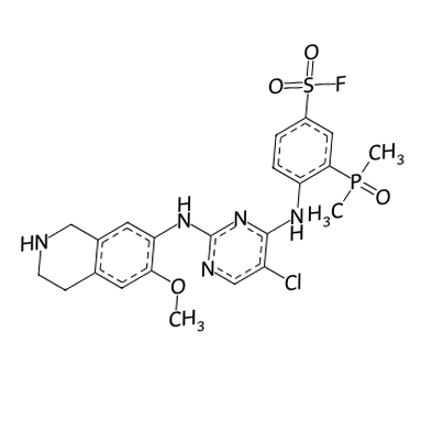 COc1cc2c(cc1Nc1ncc(Cl)c(Nc3ccc(S(=O)(=O)F)cc3P(C)(C)=O)n1)CNCC2